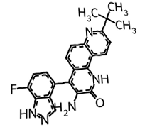 CC(C)(C)c1ccc2c(ccc3c(-c4ccc(F)c5[nH]ncc45)c(N)c(=O)[nH]c32)n1